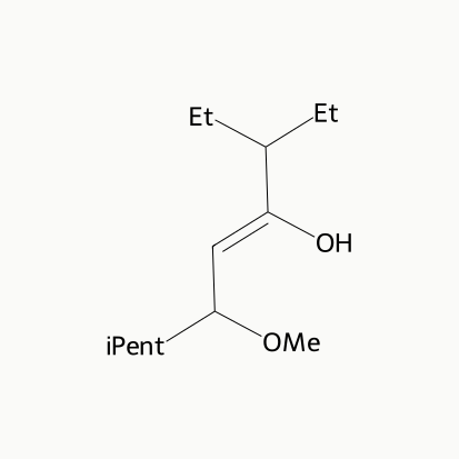 CCCC(C)C(/C=C(\O)C(CC)CC)OC